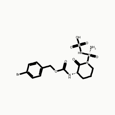 N[P@@](=O)(NS(=O)(=O)O)N1CCC[C@H](NC(=O)OCc2ccc(Br)cc2)C1=O